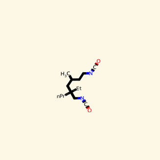 CCCC(CC)(CN=C=O)CC(C)CCN=C=O